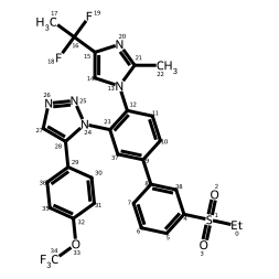 CCS(=O)(=O)c1cccc(-c2ccc(-n3cc(C(C)(F)F)nc3C)c(-n3nncc3-c3ccc(OC(F)(F)F)cc3)c2)c1